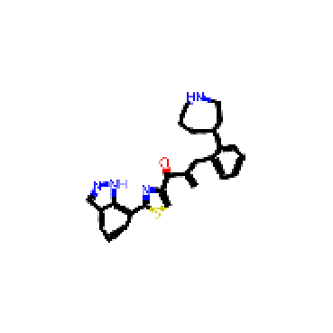 C=C(Cc1ccccc1C1CCCNCC1)C(=O)c1csc(-c2cccc3cn[nH]c23)n1